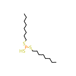 CCCCCCCCSP(S)SCCCCCCCC